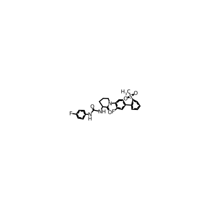 CS(=O)(=O)c1ccccc1-c1ccc(N2CCCC(NC(=O)Nc3ccc(F)cc3)C2=O)c(F)c1